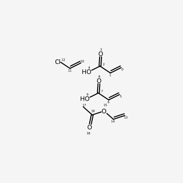 C=CC(=O)O.C=CC(=O)O.C=CCl.C=COC(C)=O